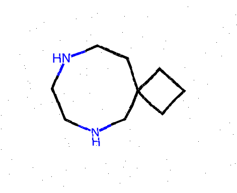 C1CC2(C1)CCNCCNC2